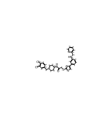 O=C(CSc1nc(-c2cccc(NCc3ccccn3)c2)cs1)NC1CCN(Cc2ccc(Cl)c(Cl)c2)CC1